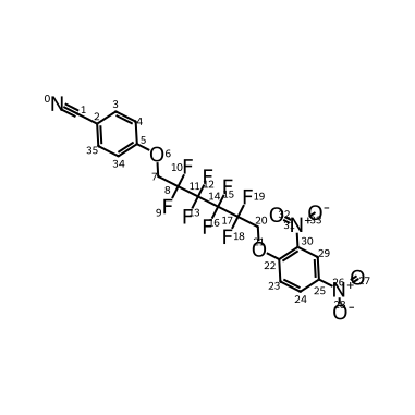 N#Cc1ccc(OCC(F)(F)C(F)(F)C(F)(F)C(F)(F)COc2ccc([N+](=O)[O-])cc2[N+](=O)[O-])cc1